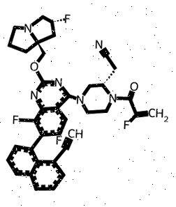 C#Cc1cccc2cccc(-c3c(F)cc4c(N5CCN(C(=O)C(=C)F)[C@@H](CC#N)C5)nc(OC[C@@]56CCCN5C[C@H](F)C6)nc4c3F)c12